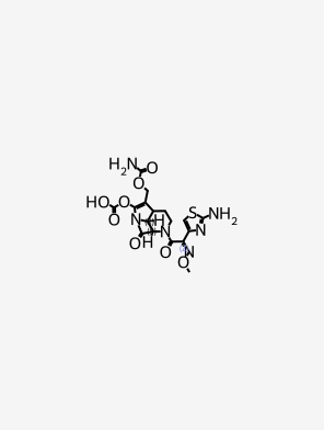 CO/N=C(\C(=O)N1CCC2C(COC(N)=O)=C(OC(=O)O)N3C(=O)[C@@H]1[C@@H]23)c1csc(N)n1